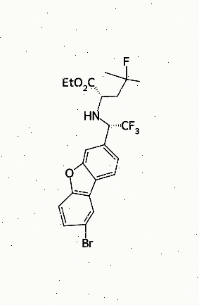 CCOC(=O)[C@H](CC(C)(C)F)N[C@@H](c1ccc2c(c1)oc1ccc(Br)cc12)C(F)(F)F